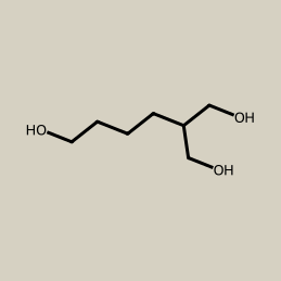 OCCCCC(CO)CO